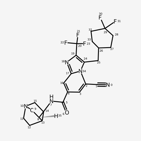 N#Cc1cc(C(=O)N[C@@H]2CN3CCC2CC3)cc2nc(C(F)(F)F)c(CC3CCC(F)(F)CC3)n12